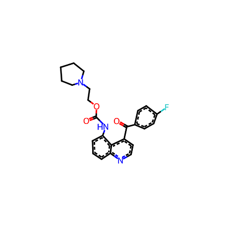 O=C(Nc1cccc2nccc(C(=O)c3ccc(F)cc3)c12)OCCN1CCCCC1